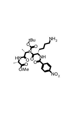 COC(=O)[C@H](C)NC(=O)[C@H](C)N(C(=O)OC(C)(C)C)C(=O)[C@H](CCCCN)NC(=O)c1ccc([N+](=O)[O-])cc1